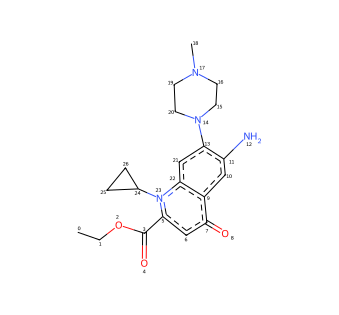 CCOC(=O)c1cc(=O)c2cc(N)c(N3CCN(C)CC3)cc2n1C1CC1